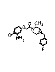 CC1CN(Cc2ccc(F)cc2)CCN1C(=O)COc1ccc(Cl)c(N)c1